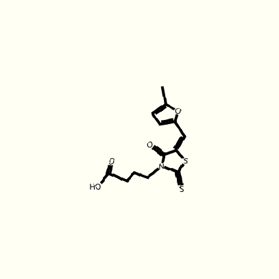 Cc1ccc(/C=C2/SC(=S)N(CCCC(=O)O)C2=O)o1